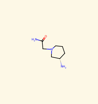 NC(=O)CN1CCC[C@H](N)C1